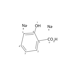 O=C(O)c1ccccc1O.[Na].[Na]